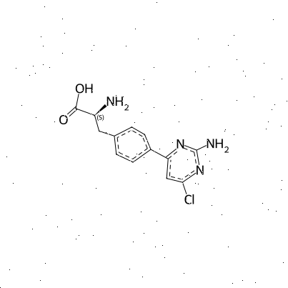 Nc1nc(Cl)cc(-c2ccc(C[C@H](N)C(=O)O)cc2)n1